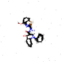 COc1cccc2sc(NC(=O)C3=C(O)c4ccccc4N(c4ccccc4)C3)nc12